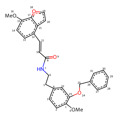 COc1ccc(CCNC(=O)C=Cc2ccc(OC)c3occc23)cc1OCc1ccccc1